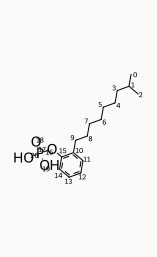 CC(C)CCCCCCCc1ccccc1OP(=O)(O)O